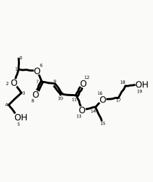 CC(OCCO)OC(=O)C=CC(=O)OC(C)OCCO